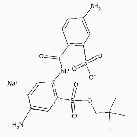 CC(C)(C)COS(=O)(=O)c1cc(N)ccc1NC(=O)c1ccc(N)cc1S(=O)(=O)[O-].[Na+]